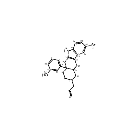 C=CCN1CCC2(c3cccc(O)c3)Cc3[nH]c4ccc(Br)cc4c3CC2C1